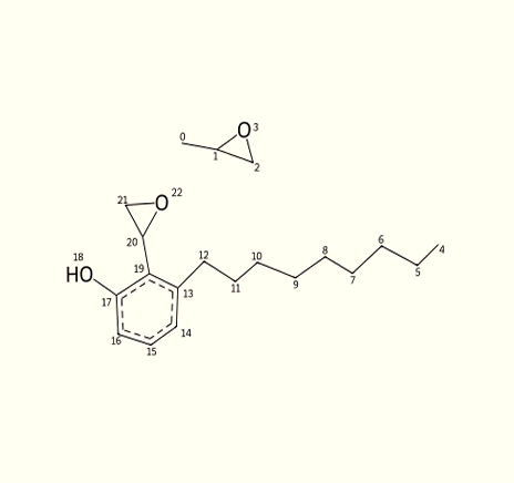 CC1CO1.CCCCCCCCCc1cccc(O)c1C1CO1